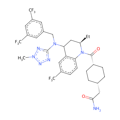 CC[C@@H]1CC(N(Cc2cc(C(F)(F)F)cc(C(F)(F)F)c2)c2nnn(C)n2)c2cc(C(F)(F)F)ccc2N1C(=O)[C@H]1CC[C@@H](CC(N)=O)CC1